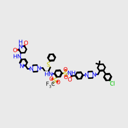 CC1(C)CCC(c2ccc(Cl)cc2)=C(CN2CCN(c3ccc(C(=O)NS(=O)(=O)c4ccc(N[C@H](CCN5CCN(Cc6ccc(NC7CCC(=O)NC7=O)cn6)CC5)CSc5ccccc5)c(S(=O)(=O)C(F)(F)F)c4)cc3)CC2)C1